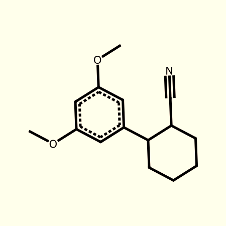 COc1cc(OC)cc(C2CCCCC2C#N)c1